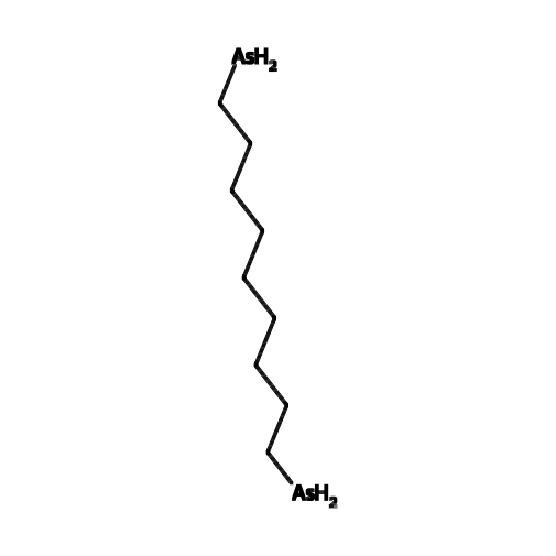 [AsH2]CCCCCCCCC[AsH2]